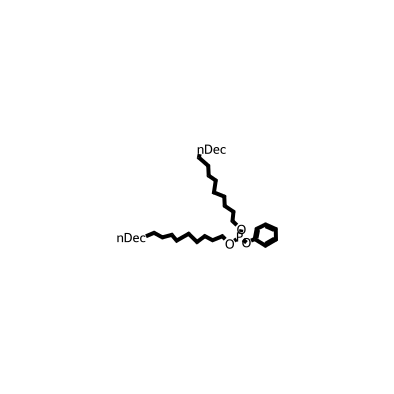 CCCCCCCCCCCCCCCCCCCOP(OCCCCCCCCCCCCCCCCCCC)Oc1ccccc1